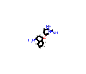 N=Cn1cc(OC2CCC(N)c3ccccc32)ccc1=N